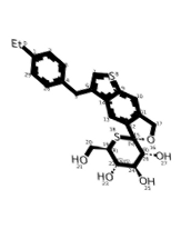 CCc1ccc(Cc2csc3cc4c(cc23)[C@]2(OC4)S[C@H](CO)[C@@H](O)[C@H](O)[C@H]2O)cc1